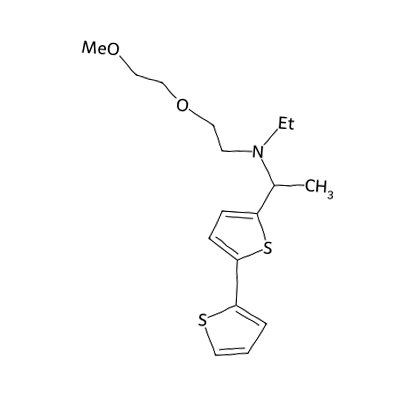 CCN(CCOCCOC)C(C)c1ccc(-c2cccs2)s1